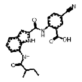 CCC(C)C(=O)Nc1cccc2cc(C(=O)Nc3ccc(C#N)cc3C(=O)O)[nH]c12